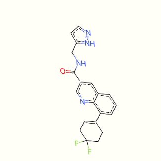 O=C(NCc1ccn[nH]1)c1cnc2c(C3=CCC(F)(F)CC3)cccc2c1